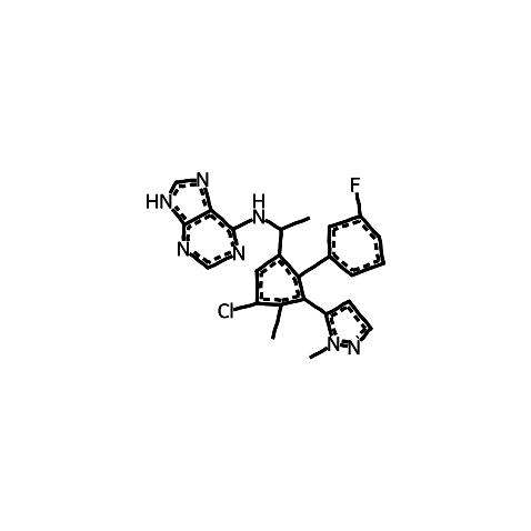 Cc1c(Cl)cc(C(C)Nc2ncnc3[nH]cnc23)c(-c2cccc(F)c2)c1-c1ccnn1C